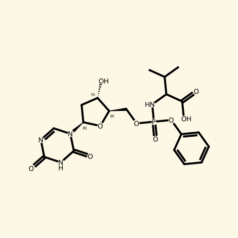 CC(C)C(NP(=O)(OC[C@H]1O[C@@H](n2cnc(=O)[nH]c2=O)C[C@@H]1O)Oc1ccccc1)C(=O)O